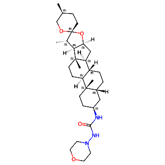 C[C@H]1CC[C@@]2(OC1)O[C@H]1C[C@H]3[C@@H]4CC[C@@H]5C[C@@H](NC(=O)NN6CCOCC6)CC[C@]5(C)[C@H]4CC[C@]3(C)[C@H]1[C@@H]2C